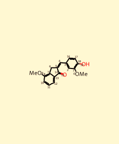 COc1cc(C=C2Cc3c(OC)cccc3C2=O)ccc1O